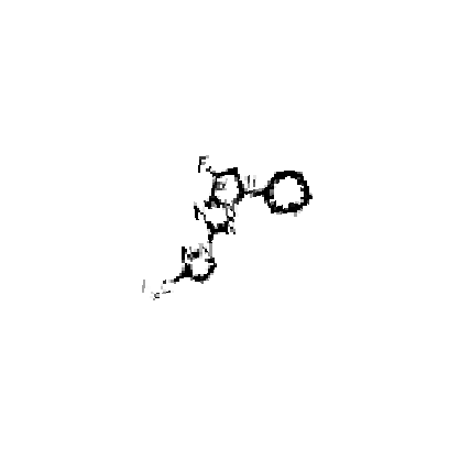 F[C@H]1C[C@@H](c2ccccc2)n2nc(-n3ccc(C(F)(F)F)n3)nc21